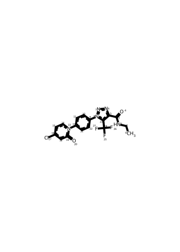 CCNC(=O)c1nnn(-c2ccc(-n3ccc(Cl)cc3=O)cc2)c1C(F)(F)F